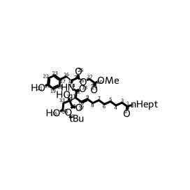 CCCCCCCC(=O)CCCCCC/C=C/[C@H](C(=O)N[C@@H](Cc1ccc(O)cc1)C(=O)OCC(=O)OC)C(O)(CCO)C(=O)OC(C)(C)C